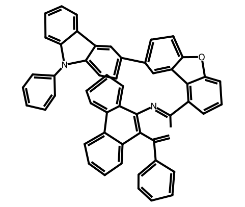 C=C(c1ccccc1)c1c(/N=C(\C)c2cccc3oc4ccc(-c5ccc6c(c5)c5ccccc5n6-c5ccccc5)cc4c23)c2ccccc2c2ccccc12